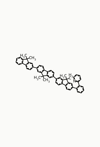 CC1(C)c2ccccc2-c2ccc(-c3ccc4c(c3)C(C)(C)c3cc(-c5ccc6c(c5)C(C)(C)c5cc(-c7ccccc7-c7ccccn7)ccc5-6)ccc3-4)cc21